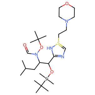 CC(C)CC(C(O[Si](C)(C)C(C)(C)C)C1=NC=S(CCN2CCOCC2)N1)N(C=O)OC(C)(C)C